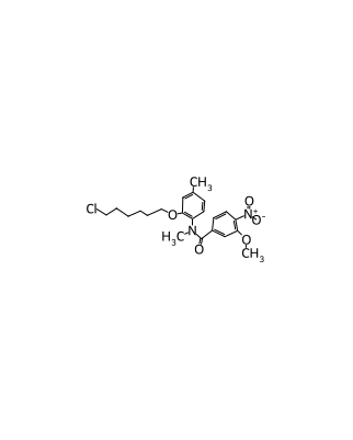 COc1cc(C(=O)N(C)c2ccc(C)cc2OCCCCCCCl)ccc1[N+](=O)[O-]